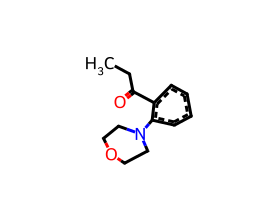 CCC(=O)c1ccccc1N1CCOCC1